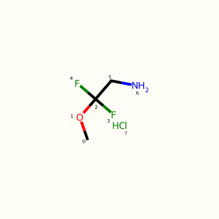 COC(F)(F)CN.Cl